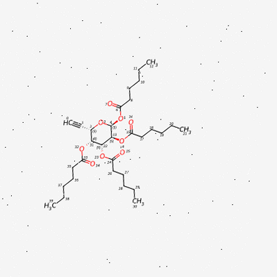 C#C[C@@H]1O[C@@H](OC(=O)CCCCC)[C@@H](OC(=O)CCCCC)[C@H](OC(=O)CCCCC)[C@@H]1OC(=O)CCCCC